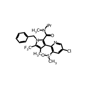 Cc1c(-c2ncc(Cl)cc2[S+](C)[O-])c(C(=O)N(C)C(C)C)n(Cc2ccccc2)c1C(F)(F)F